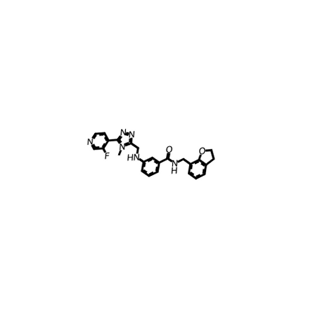 Cn1c(CNc2cccc(C(=O)NCc3cccc4c3OCC4)c2)nnc1-c1ccncc1F